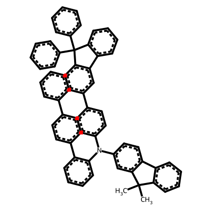 CC1(C)c2ccccc2-c2ccc(N(c3ccc(-c4ccc5c(c4)-c4ccccc4C5(c4ccccc4)c4ccccc4)cc3)c3ccccc3-c3ccc(-c4ccccc4)cc3)cc21